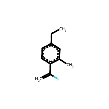 C=C(F)c1ccc(CC)cc1C